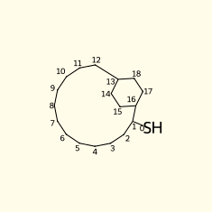 SC1CCCCCCCCCCCC2CCC1CC2